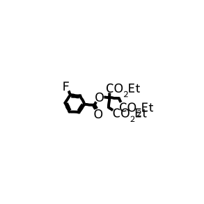 CCOC(=O)CC(CC(=O)OCC)(OC(=O)c1cccc(F)c1)C(=O)OCC